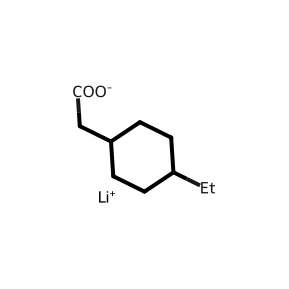 CCC1CCC(CC(=O)[O-])CC1.[Li+]